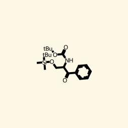 CC(C)(C)OC(=O)NC(CO[Si](C)(C)C(C)(C)C)C(=O)c1ccccc1